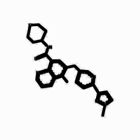 Cc1c(Cc2ccc(-c3ccn(C)n3)nc2)cc(C(=O)NC2CCOCC2)c2ncccc12